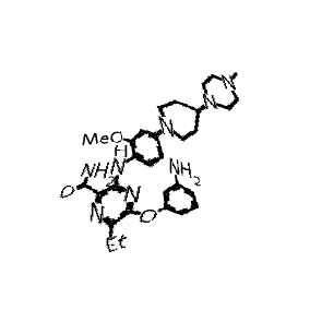 CCc1nc(C(N)=O)c(Nc2ccc(N3CCC(N4CCN(C)CC4)CC3)cc2OC)nc1Oc1cccc(N)c1